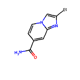 CCc1cn2ccc(C(N)=O)cc2n1